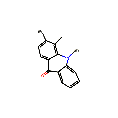 Cc1c(C(C)C)ccc2c(=O)c3ccccc3n(C(C)C)c12